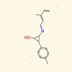 C=C/C(C)=C/C=N/C1C(O)C1c1ccc(C)cc1